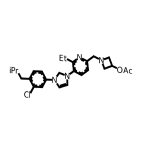 CCc1nc(CN2CC(OC(C)=O)C2)ccc1N1C=CN(c2ccc(CC(C)C)c(Cl)c2)C1